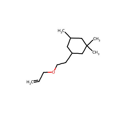 C=CCOCCC1CC(C)CC(C)(C)C1